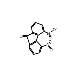 O=C1c2cccc([N+](=O)[O-])c2-c2c1cccc2[N+](=O)[O-]